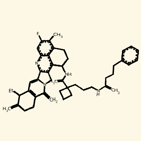 C=C(CCCc1ccccc1)NCCCC1(C(=C)NC2CCc3c(C)c(F)cc4nc5c(c2c34)CN2C(=C)C3=C(C=C52)C(CC)C(=C)CC3)CCC1